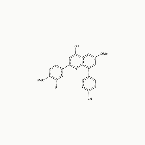 COc1cc(-c2ccc(C#N)cc2)c2nc(-c3ccc(OC)c(F)c3)cc(O)c2c1